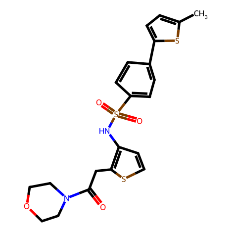 Cc1ccc(-c2ccc(S(=O)(=O)Nc3ccsc3CC(=O)N3CCOCC3)cc2)s1